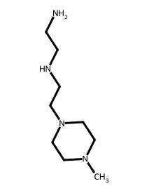 CN1CCN(CCNCCN)CC1